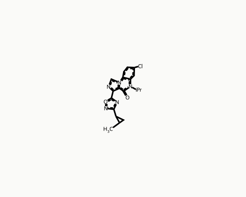 CC1CC1c1noc(-c2ncn3c2c(=O)n(C(C)C)c2cc(Cl)ccc23)n1